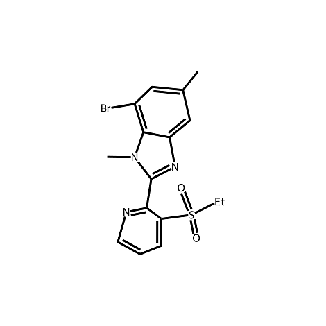 CCS(=O)(=O)c1cccnc1-c1nc2cc(C)cc(Br)c2n1C